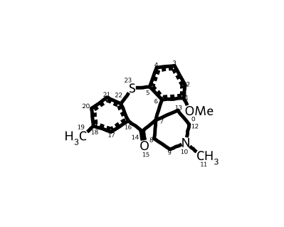 COc1cccc2c1C1(CCN(C)CC1)C(=O)c1cc(C)ccc1S2